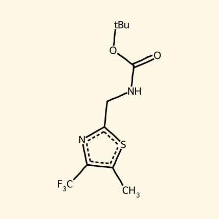 Cc1sc(CNC(=O)OC(C)(C)C)nc1C(F)(F)F